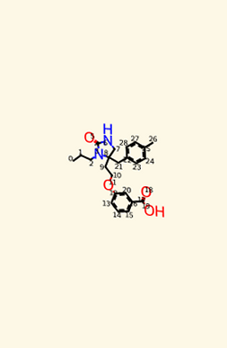 CCCN1C(=O)NCC1(CCOc1cccc(C(=O)O)c1)Cc1ccc(C)cc1